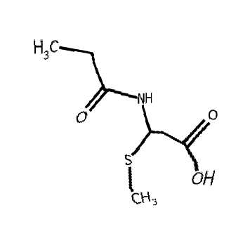 CCC(=O)NC(SC)C(=O)O